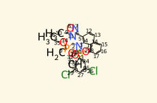 C=P(CN(c1c(-c2noc(C)n2)ccc2ccccc12)S(=O)(=O)c1cc(Cl)cc(Cl)c1)(OCC)OCC